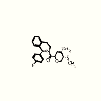 CS[C@@H]1CO[C@@H](C(=O)N2CCc3ccccc3[C@@H]2c2ccc(F)cc2)C[C@@H]1N